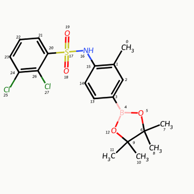 Cc1cc(B2OC(C)(C)C(C)(C)O2)ccc1NS(=O)(=O)c1cccc(Cl)c1Cl